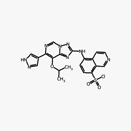 CC(C)Oc1c(-c2cn[nH]c2)ncn2nc(Nc3ccc(S(=O)(=O)Cl)c4cnccc34)nc12